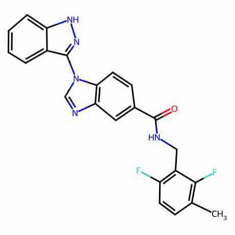 Cc1ccc(F)c(CNC(=O)c2ccc3c(c2)ncn3-c2n[nH]c3ccccc23)c1F